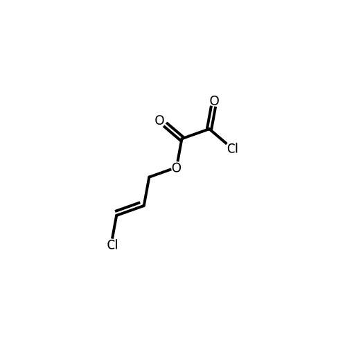 O=C(Cl)C(=O)OCC=CCl